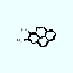 Cc1[c]c2ccc3cccc4ccc(c1C)c2c34